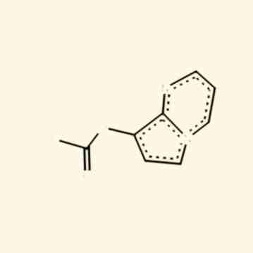 CC(=O)Oc1ccn2cccnc12